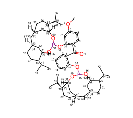 COc1ccc(C(=O)c2ccccc2OP2O[C@@H]3C[C@@H](CCC3C(C)C)C[C@@H]3CC[C@@H](C(C)C)[C@@H](C3)O2)c(OP2O[C@@H]3C[C@@H](CCC3C(C)C)C[C@@H]3CC[C@@H](C(C)C)[C@@H](C3)O2)c1